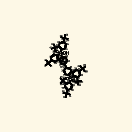 CC(C)(C)c1ccc(P(O)(O)(c2ccc(-c3ccc(P(O)(O)(c4ccc(C(C)(C)C)cc4C(C)(C)C)c4ccc(C(C)(C)C)cc4C(C)(C)C)cc3)cc2)c2ccc(C(C)(C)C)cc2C(C)(C)C)c(C(C)(C)C)c1